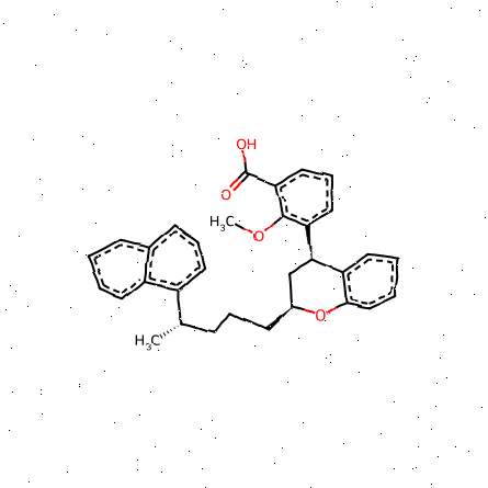 COc1c(C(=O)O)cccc1[C@@H]1C[C@H](CCC[C@H](C)c2cccc3ccccc23)Oc2ccccc21